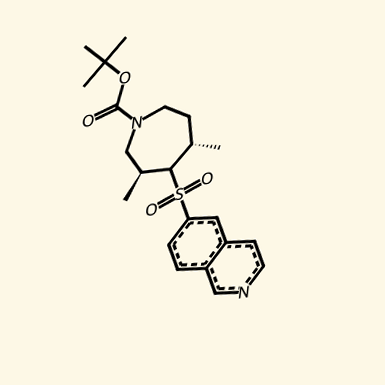 C[C@H]1CCN(C(=O)OC(C)(C)C)C[C@H](C)C1S(=O)(=O)c1ccc2cnccc2c1